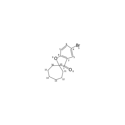 O=C1c2cc(Br)ccc2OC12CCCCCC2